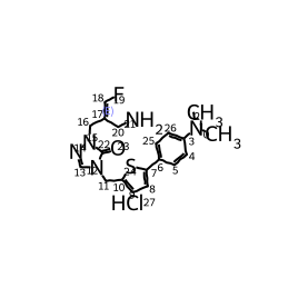 CN(C)c1ccc(-c2ccc(Cn3cnn(C/C(=C/F)CN)c3=O)s2)cc1.Cl